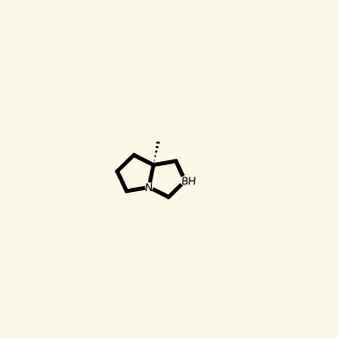 C[C@]12CBCN1CCC2